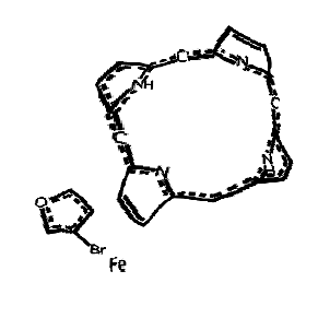 Brc1ccoc1.C1=Cc2cc3ccc(cc4nc(cc5ccc(cc1n2)[nH]5)C=C4)[nH]3.[Fe]